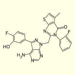 Cc1csc2nc(Cn3nc(-c4ccc(F)c(O)c4)c4c(N)ncnc43)n(-c3ccccc3F)c(=O)c12